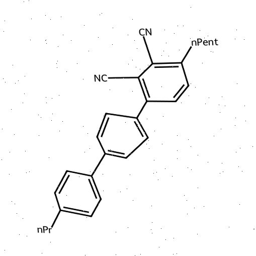 CCCCCc1ccc(-c2ccc(-c3ccc(CCC)cc3)cc2)c(C#N)c1C#N